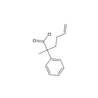 C=CCCC(C)(C(=O)Cl)c1ccccc1